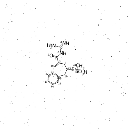 CCC1CC(C(=O)NC(=N)N)=Cc2ccccc2C1.CS(=O)(=O)O